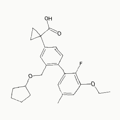 CCOc1cc(C)cc(-c2ccc(C3(C(=O)O)CC3)cc2COC2CCCC2)c1F